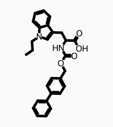 CCCn1cc(CC(NC(=O)OCc2ccc(-c3ccccc3)cc2)C(=O)O)c2ccccc21